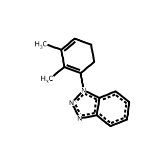 CC1=CCCC(n2nnc3ccccc32)=C1C